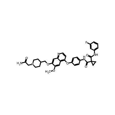 COc1cc2c(Oc3ccc(NC(=O)C4(C(=O)Nc5cccc(F)c5)CC4)cc3)ccnc2cc1OCC1CCN(CC(N)=O)CC1